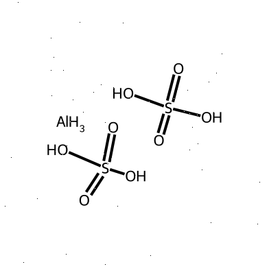 O=S(=O)(O)O.O=S(=O)(O)O.[AlH3]